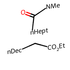 CCCCCCCC(=O)NC.CCCCCCCCCCCC(=O)OCC